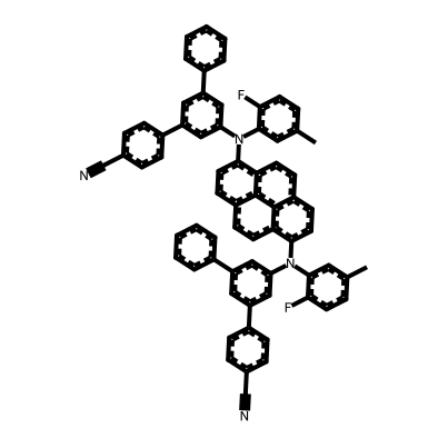 Cc1ccc(F)c(N(c2cc(-c3ccccc3)cc(-c3ccc(C#N)cc3)c2)c2ccc3ccc4c(N(c5cc(-c6ccccc6)cc(-c6ccc(C#N)cc6)c5)c5cc(C)ccc5F)ccc5ccc2c3c54)c1